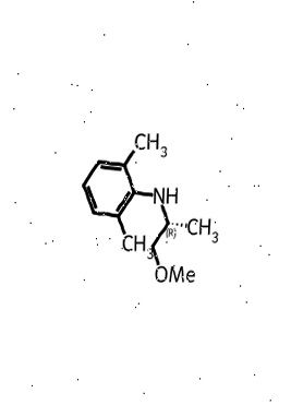 COC[C@@H](C)Nc1c(C)cccc1C